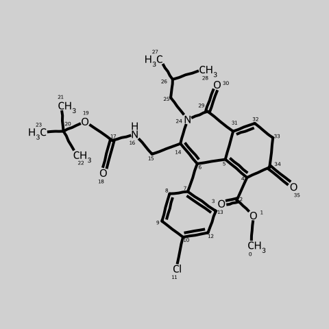 COC(=O)C1=c2c(-c3ccc(Cl)cc3)c(CNC(=O)OC(C)(C)C)n(CC(C)C)c(=O)c2=CCC1=O